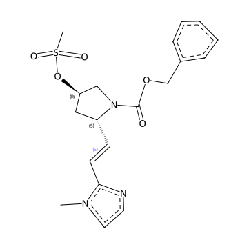 Cn1ccnc1/C=C/[C@@H]1C[C@@H](OS(C)(=O)=O)CN1C(=O)OCc1ccccc1